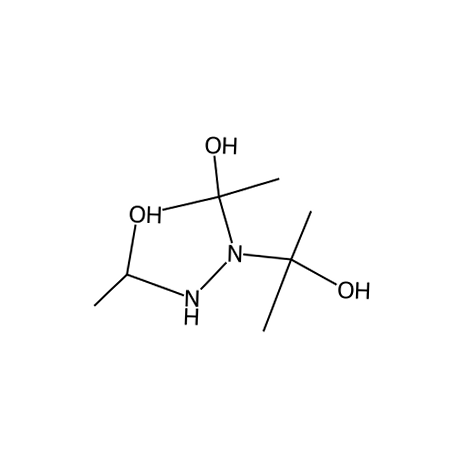 CC(O)NN(C(C)(C)O)C(C)(C)O